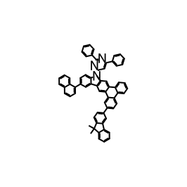 CC1(C)c2ccccc2-c2cc(-c3ccc4c5ccccc5c5cc6c(cc5c4c3)c3cc(-c4cccc5ccccc45)ccc3n6-c3cc(-c4ccccc4)nc(-c4ccccc4)n3)ccc21